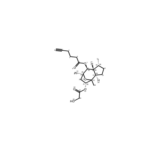 C#CCCCC(=O)O[C@H]1[C@@H]2[C@H](C)CC[C@H]2C2(C)O[C@@]1(C(C)C)C[C@H]2OC(=O)CO